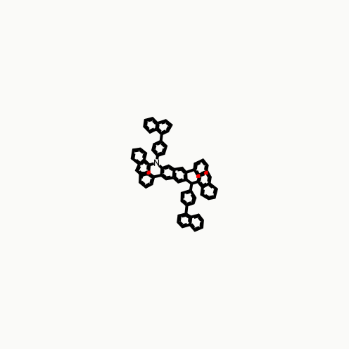 c1ccc(-c2cc3cc(N(c4ccc(-c5cccc6ccccc56)cc4)c4cccc5ccccc45)c(-c4ccccc4)cc3cc2C(c2ccc(-c3cccc4ccccc34)cc2)c2cccc3ccccc23)cc1